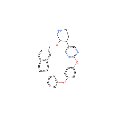 c1ccc(Oc2ccc(Oc3ncc(C4CCNCC4OCc4ccc5ccccc5c4)cn3)cc2)cc1